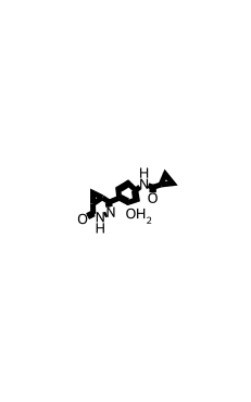 O.O=C(Nc1ccc(C2=NNC(=O)C3CC23)cc1)C1CC1